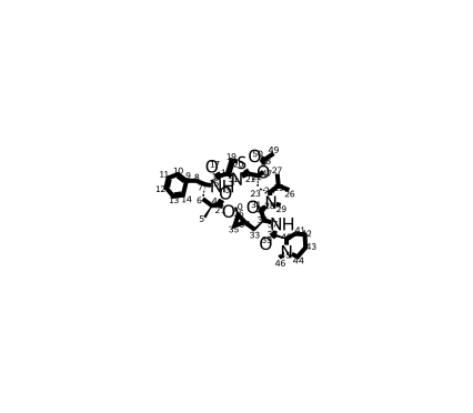 COC(=O)[C@@H](C)C[C@H](Cc1ccccc1)NC(=O)c1csc([C@@H](C[C@H](C(C)C)N(C)C(=O)[C@H](CC2CC2)NC(=O)[C@H]2CCCCN2C)OC(C)=O)n1